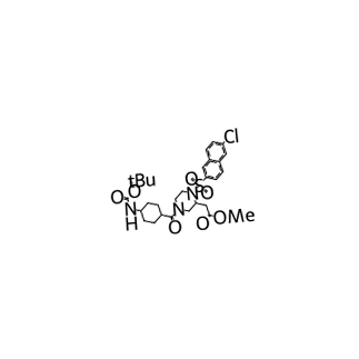 COC(=O)CC1CN(C(=O)C2CCC(NC(=O)OC(C)(C)C)CC2)CCN1S(=O)(=O)c1ccc2cc(Cl)ccc2c1